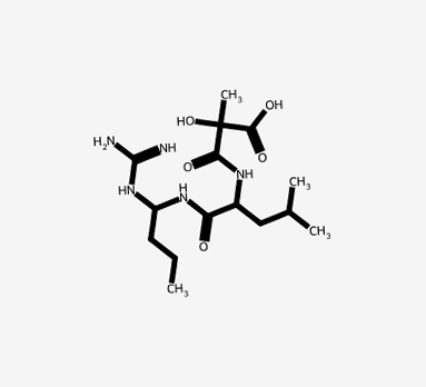 CCCC(NC(=N)N)NC(=O)C(CC(C)C)NC(=O)C(C)(O)C(=O)O